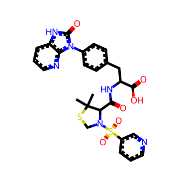 CC1(C)SCN(S(=O)(=O)c2cccnc2)C1C(=O)NC(Cc1ccc(-n2c(=O)[nH]c3cccnc32)cc1)C(=O)O